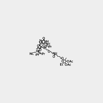 CCC1OC(OCCCCC(=O)NCCOCCOCO[C@@H]2[C@H](OP(OCCC#N)N(C(C)C)C(C)C)[C@@H](C)O[C@H]2n2cnc3c(=O)[nH]c(NC(=O)C(C)C)nc32)C(C)C(OC(C)=O)C1OC(C)=O